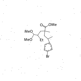 CCC(CC(C)(CC(C)c1ccc(Br)cc1)C(=O)OC)C(OC)OC